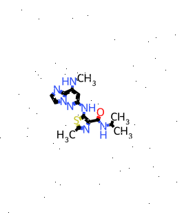 CNc1cc(Nc2sc(C)nc2C(=O)NC(C)C)nn2ccnc12